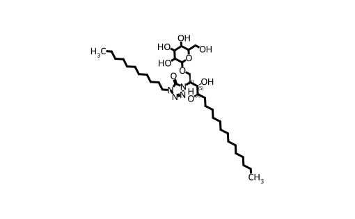 CCCCCCCCCCCCCC[C@@H](O)[C@@H](O)[C@H](COC1OC(CO)C(O)C(O)C1O)n1nnn(CCCCCCCCCCC)c1=O